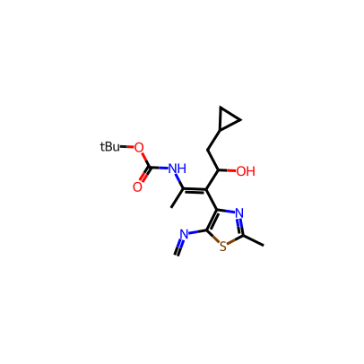 C=Nc1sc(C)nc1/C(=C(\C)NC(=O)OC(C)(C)C)C(O)CC1CC1